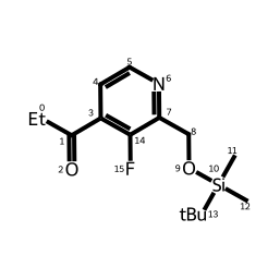 CCC(=O)c1ccnc(CO[Si](C)(C)C(C)(C)C)c1F